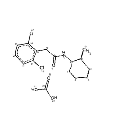 CC1CCCCC1NC(=O)Cc1c(Cl)cccc1Cl.O=C(O)O